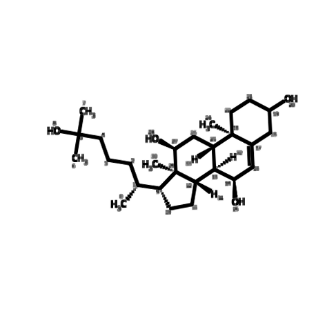 C[C@H](CCCC(C)(C)O)[C@H]1CC[C@H]2[C@@H]3[C@H](O)C=C4CC(O)CC[C@]4(C)[C@H]3C[C@H](O)[C@]12C